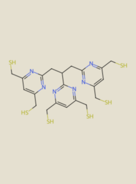 SCc1cc(CS)nc(CC(Cc2nc(CS)cc(CS)n2)c2nc(CS)cc(CS)n2)n1